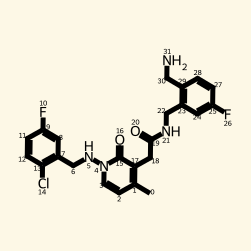 Cc1ccn(NCc2cc(F)ccc2Cl)c(=O)c1CC(=O)NCc1cc(F)ccc1CN